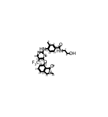 Cc1cc(C(=O)NCCO)ccc1Nc1ncc(C(F)(F)F)c(Oc2cccc3c2C(=O)N(C)C3)n1